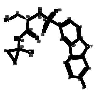 Cc1ccc2c(c1)oc1ccc(S(=O)(=O)N[C@@H](CC(C)C)C(=O)NC3(C#N)CC3)cc12